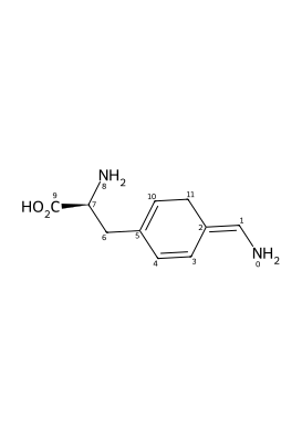 NC=C1C=CC(C[C@H](N)C(=O)O)=CC1